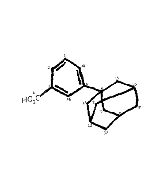 O=C(O)c1cccc(C23CC4CC(CC(C4)C2)C3)c1